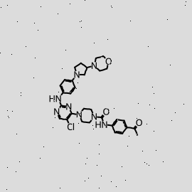 CC(=O)c1ccc(NC(=O)N2CCN(c3nc(Nc4ccc(N5CCC(N6CCOCC6)C5)cc4)ncc3Cl)CC2)cc1